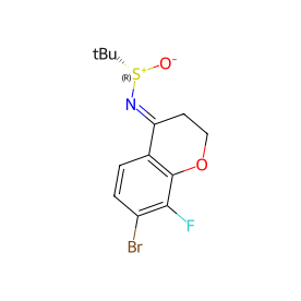 CC(C)(C)[S@+]([O-])N=C1CCOc2c1ccc(Br)c2F